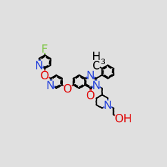 Cc1ccccc1-c1nc2ccc(Oc3ccc(Oc4ccc(F)cn4)nc3)cc2c(=O)n1CC1CCCN(CCO)C1